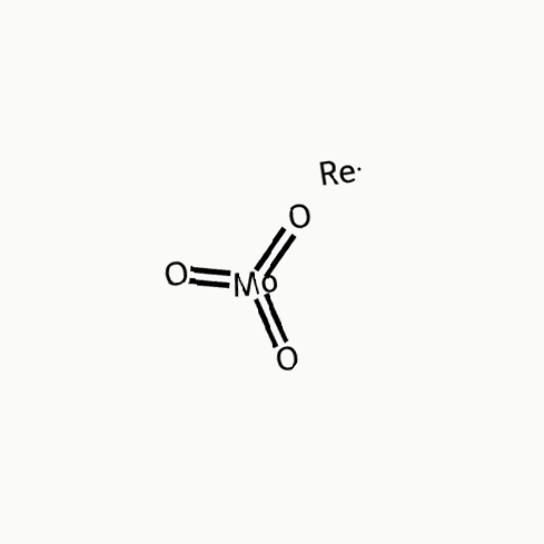 [O]=[Mo](=[O])=[O].[Re]